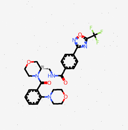 O=C(NC[C@H]1COCCN1C(=O)c1ccccc1N1CCOCC1)c1ccc(-c2noc(C(F)(F)F)n2)cc1